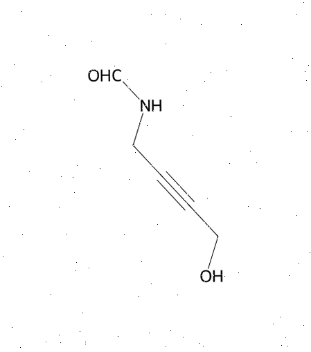 O=CNCC#CCO